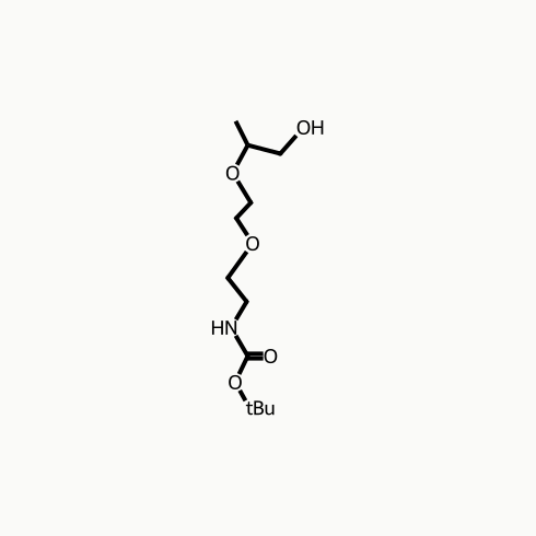 CC(CO)OCCOCCNC(=O)OC(C)(C)C